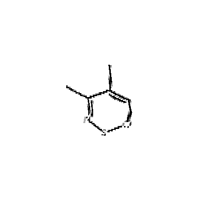 CC1=COSN=C1C